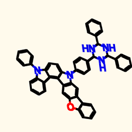 c1ccc(C2NC(c3ccccc3)NC(c3ccc(-n4c5cc6c(cc5c5c7c8ccccc8n(-c8ccccc8)c7ccc54)oc4ccccc46)cc3)N2)cc1